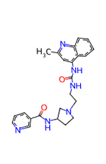 Cc1cc(NC(=O)NCCN2CCC(NC(=O)c3cccnc3)C2)c2ccccc2n1